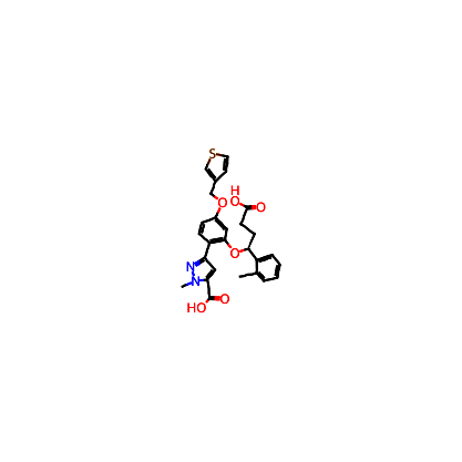 Cc1ccccc1[C@H](CCC(=O)O)Oc1cc(OCc2ccsc2)ccc1-c1cc(C(=O)O)n(C)n1